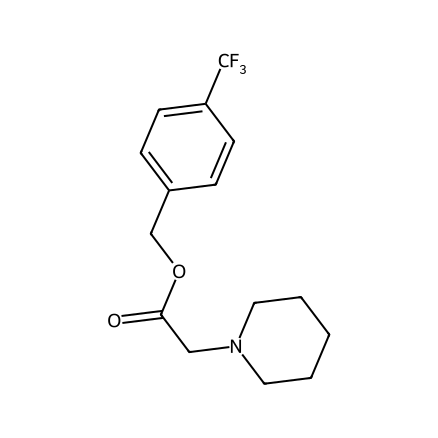 O=C(CN1CCCCC1)OCc1ccc(C(F)(F)F)cc1